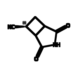 N#C[C@H]1CC2C(=O)NC(=O)C21